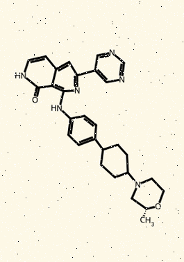 C[C@@H]1CN(C2CCC(c3ccc(Nc4nc(-c5cncnc5)cc5cc[nH]c(=O)c45)cc3)CC2)CCO1